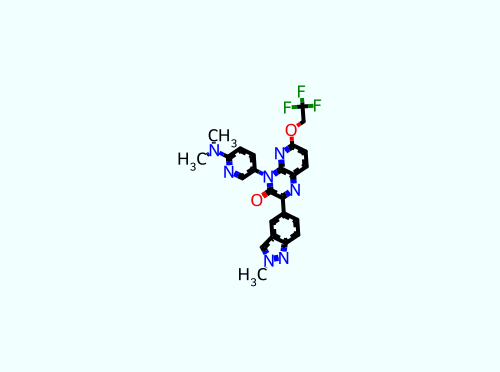 CN(C)c1ccc(-n2c(=O)c(-c3ccc4nn(C)cc4c3)nc3ccc(OCC(F)(F)F)nc32)cn1